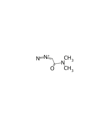 CN(C)C(=O)C=[N+]=[N-]